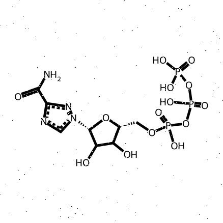 NC(=O)c1ncn([C@@H]2O[C@H](COP(=O)(O)OP(=O)(O)OP(=O)(O)O)C(O)C2O)n1